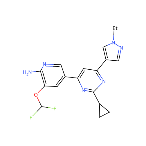 CCn1cc(-c2cc(-c3cnc(N)c(OC(F)F)c3)nc(C3CC3)n2)cn1